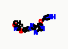 COc1ccc(OC2CC3CN(c4ccc(-c5cc(OCCN6C7CCC6CNC7)cn6ncc(C#N)c56)cn4)CC3C2)cn1